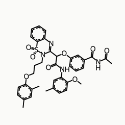 COc1ccc(C)cc1NC(=O)C(Oc1cccc(C(=O)NC(C)=O)c1)C1=Nc2ccccc2S(=O)(=O)N1CCCOc1ccc(C)cc1C